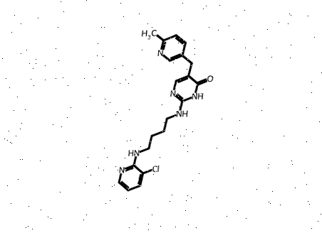 Cc1ccc(Cc2cnc(NCCCCNc3ncccc3Cl)[nH]c2=O)cn1